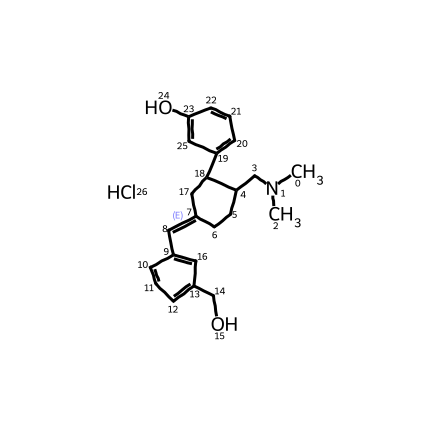 CN(C)CC1CC/C(=C\c2cccc(CO)c2)CC1c1cccc(O)c1.Cl